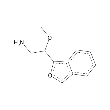 COC(CN)c1occ2ccccc12